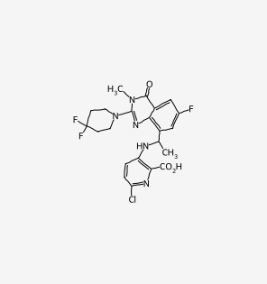 CC(Nc1ccc(Cl)nc1C(=O)O)c1cc(F)cc2c(=O)n(C)c(N3CCC(F)(F)CC3)nc12